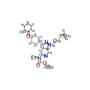 CCN(C(=O)OC(C)(C)C)c1cc2c(C3=CCC(Oc4ccccc4F)CC3)nn(COCC[Si](C)(C)C)c2cn1